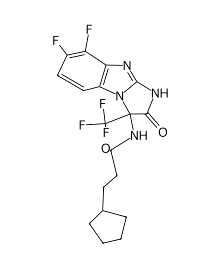 O=C(CCC1CCCC1)NC1(C(F)(F)F)C(=O)Nc2nc3c(F)c(F)ccc3n21